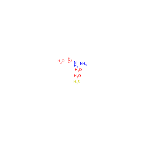 N.N.O.O.O.O.S